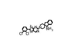 Cn1c(-c2cccc(Cl)c2Cl)nc2cnc(N3CCC4(CC3)Cc3ccccc3[C@H]4N)nc21